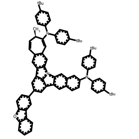 C[C@@H]1C=Cc2cc3c4cc(-c5ccc6oc7ccccc7c6c5)cc5c6cc7ccc(N(c8ccc(C(C)(C)C)cc8)c8ccc(C(C)(C)C)cc8)cc7cc6n(c3cc2C=C1N(c1ccc(C(C)(C)C)cc1)c1ccc(C(C)(C)C)cc1)c45